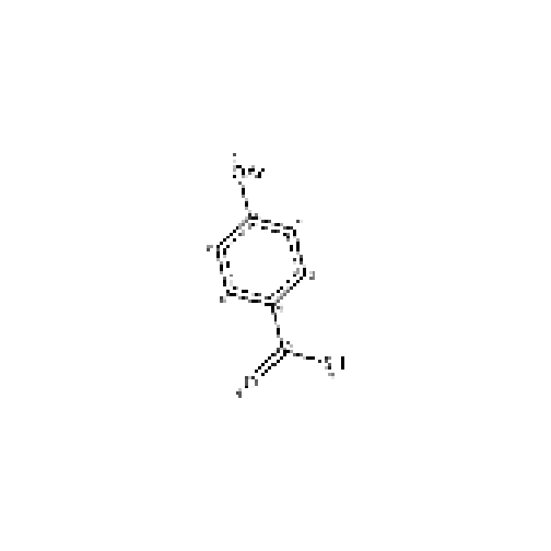 CC(=O)Oc1ccc(C(=O)S)cc1